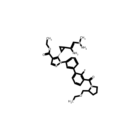 CCOCC1CCCN1C(=O)c1cccc(-c2cccc(-n3ncc(C(=O)OCC)c3[C@@H]3CC3/C(N)=C/N(C)N)c2)c1F